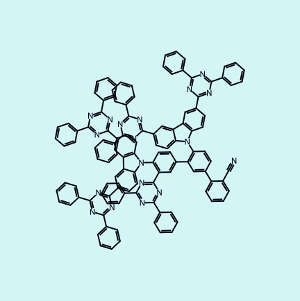 N#Cc1ccccc1-c1ccc(-n2c3ccc(-c4nc(-c5ccccc5)nc(-c5ccccc5)n4)cc3c3cc(-c4nc(-c5ccccc5)nc(-c5ccccc5)n4)ccc32)c(-c2ccc(-n3c4ccc(-c5nc(-c6ccccc6)nc(-c6ccccc6)n5)cc4c4cc(-c5nc(-c6ccccc6)nc(-c6ccccc6)n5)ccc43)c(-c3nc(-c4ccccc4)nc(-c4ccccc4)n3)c2)c1